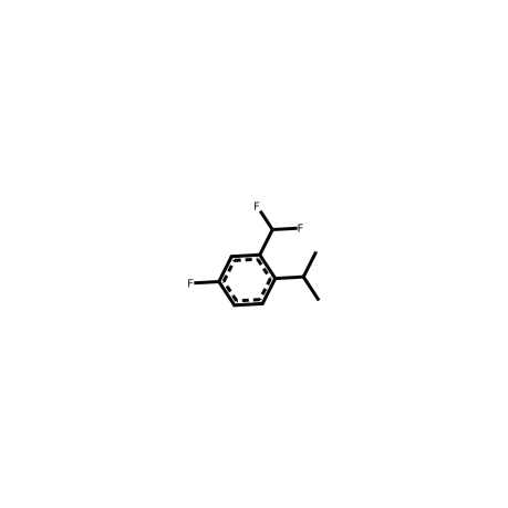 CC(C)c1ccc(F)cc1C(F)F